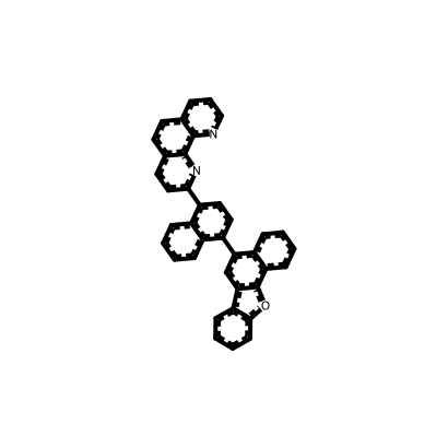 c1cnc2c(c1)ccc1ccc(-c3ccc(-c4cc5c6ccccc6oc5c5ccccc45)c4ccccc34)nc12